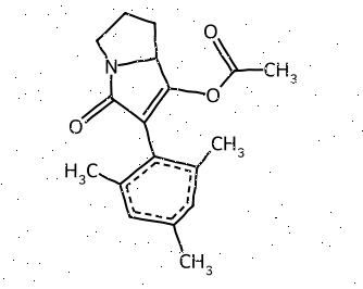 CC(=O)OC1=C(c2c(C)cc(C)cc2C)C(=O)N2CCCC12